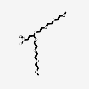 COCCOCCOCCOC(CC[SiH](Cl)Cl)OCCOCCOCCOC